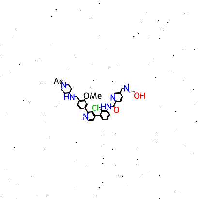 COc1cc(-c2nccc(-c3cccc(NC(=O)c4ccc(CN(C)CCO)cn4)c3C)c2Cl)ccc1CNC1CCN(C(C)=O)CC1